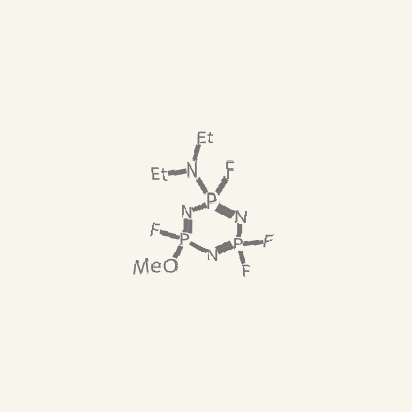 CCN(CC)P1(F)=NP(F)(F)=NP(F)(OC)=N1